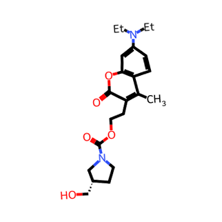 CCN(CC)c1ccc2c(C)c(CCOC(=O)N3CC[C@H](CO)C3)c(=O)oc2c1